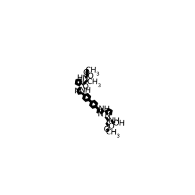 COCC[C@@H](CN1CCC[C@H]1c1ncc(-c2ccc(-c3ccc(-c4cnc([C@@H]5CCCN5C(=O)[C@H](C)NC(=O)OC)[nH]4)cc3)cc2)[nH]1)NC(=O)O